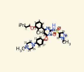 Cc1c(OCCC(C)C)cccc1-c1cc(Oc2ccc(N3CCN(C)CC3)cc2)nc(NS(=O)(=O)c2cnn(C)c2)n1